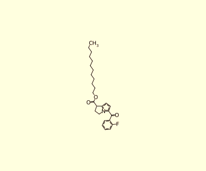 CCCCCCCCCCCCOC(=O)C1CCn2c(C(=O)c3ccccc3F)ccc21